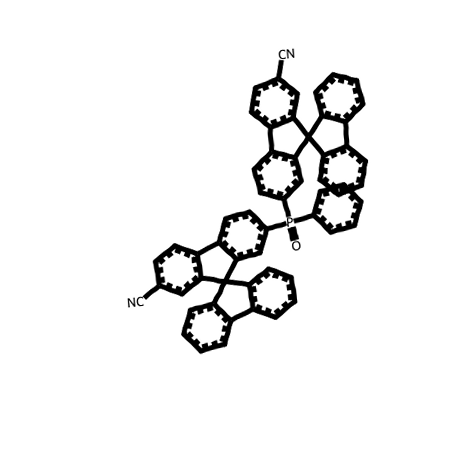 N#Cc1ccc2c(c1)C1(c3ccccc3-c3ccccc31)c1cc(P(=O)(c3ccccc3)c3ccc4c(c3)C3(c5ccccc5-c5ccccc53)c3cc(C#N)ccc3-4)ccc1-2